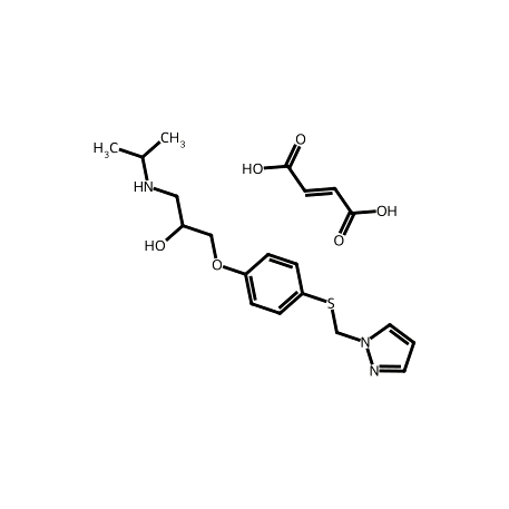 CC(C)NCC(O)COc1ccc(SCn2cccn2)cc1.O=C(O)C=CC(=O)O